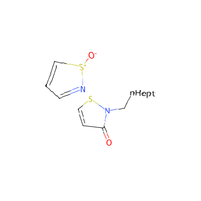 CCCCCCCCn1sccc1=O.[O-][s+]1cccn1